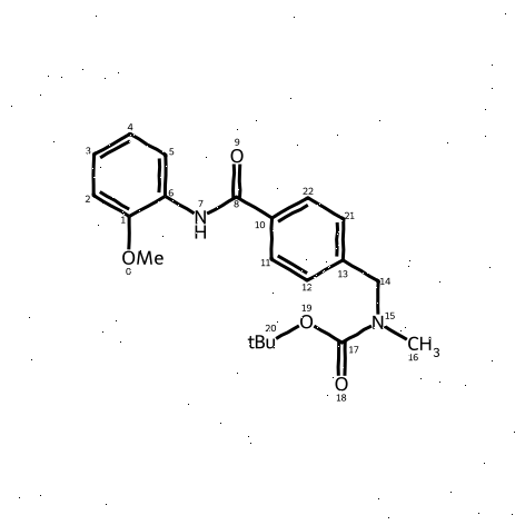 COc1ccccc1NC(=O)c1ccc(CN(C)C(=O)OC(C)(C)C)cc1